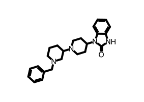 O=c1[nH]c2ccccc2n1C1CCN(C2CCCN(Cc3ccccc3)C2)CC1